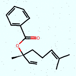 C=C[C@@](C)(CCC=C(C)C)OC(=O)c1ccccc1